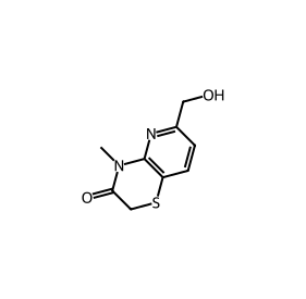 CN1C(=O)CSc2ccc(CO)nc21